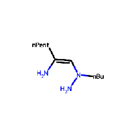 CCCCC/C(N)=C/N(N)CCCC